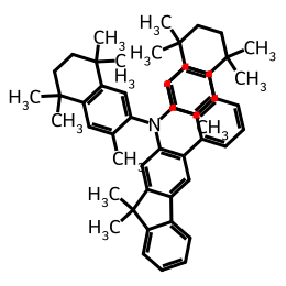 Cc1cc2c(cc1N(c1cc3c(cc1C)C(C)(C)CCC3(C)C)c1cc3c(cc1-c1cccc4c1CCCC4)-c1ccccc1C3(C)C)C(C)(C)CCC2(C)C